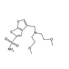 COCCN(CCOC)Cc1csc2sc(S(N)(=O)=O)cc12